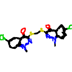 Cn1nc(SCSc2nn(C)c3ccc(Cl)cc3c2=O)c(=O)c2cc(Cl)ccc21